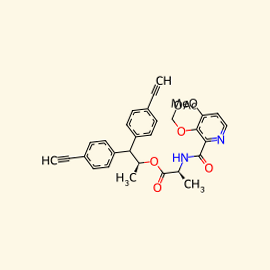 C#Cc1ccc(C(c2ccc(C#C)cc2)[C@H](C)OC(=O)[C@H](C)NC(=O)c2nccc(OC)c2OCOC(C)=O)cc1